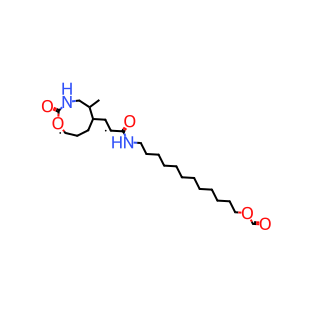 CC1CNC(=O)O[CH]CCC1C[CH]C(=O)NCCCCCCCCCCCCOC=O